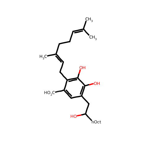 CCCCCCCCC(O)Cc1cc(C(=O)O)c(C/C=C(\C)CCC=C(C)C)c(O)c1O